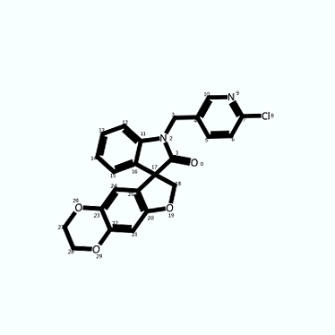 O=C1N(Cc2ccc(Cl)nc2)c2ccccc2C12COc1cc3c(cc12)OCCO3